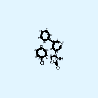 O=C1N[C@H](c2cncc(-c3ccccc3)c2)[C@@H](c2ccccc2Cl)O1